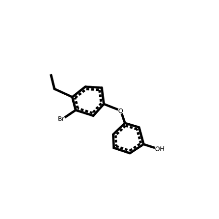 CCc1ccc(Oc2cccc(O)c2)cc1Br